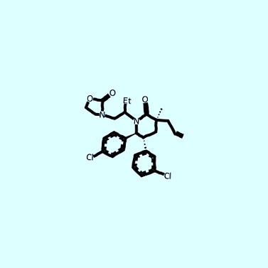 C=CC[C@@]1(C)C[C@H](c2cccc(Cl)c2)[C@@H](c2ccc(Cl)cc2)N(C(CC)CN2CCOC2=O)C1=O